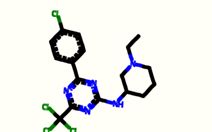 CCN1CCCC(Nc2nc(-c3ccc(Cl)cc3)nc(C(Cl)(Cl)Cl)n2)C1